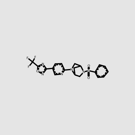 O=S(=O)(c1ccccc1)N1CC2CC1CN2c1ccc(-c2noc(C(F)(F)F)n2)cn1